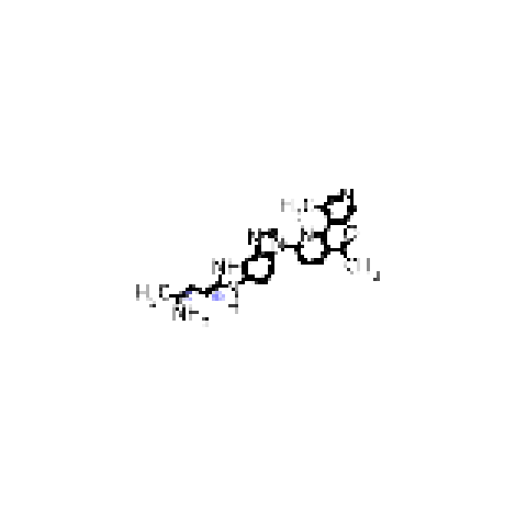 CC(=O)c1ccc(-n2cnc3cc(N/C(N)=C/C=C(/C)N)ccc32)nc1-c1ccncc1C